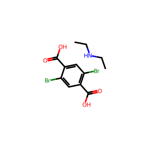 CCNCC.O=C(O)c1cc(Br)c(C(=O)O)cc1Br